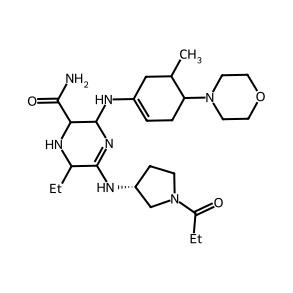 CCC(=O)N1CC[C@@H](NC2=NC(NC3=CCC(N4CCOCC4)C(C)C3)C(C(N)=O)NC2CC)C1